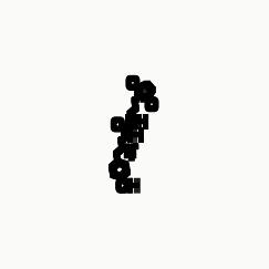 CN(C)C(CNC(=O)NCCCN1C(=O)C=CC1=O)Cc1ccc(O)cc1